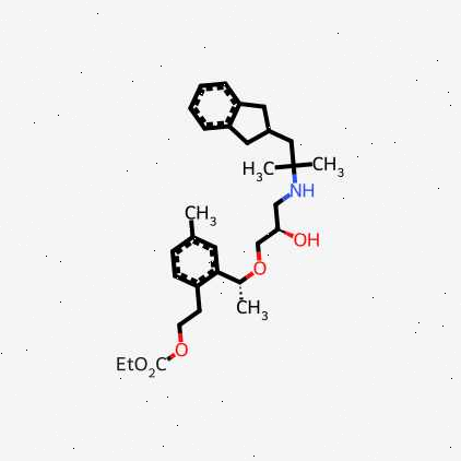 CCOC(=O)OCCc1ccc(C)cc1[C@@H](C)OC[C@H](O)CNC(C)(C)CC1Cc2ccccc2C1